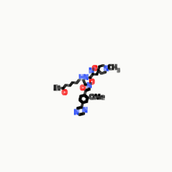 CCC(=O)CCCCC[C@H](NC(=O)C1=NOC2(CCN(C)CC2)C1)c1ncc(-c2ccc(-c3cnccn3)cc2OC)o1